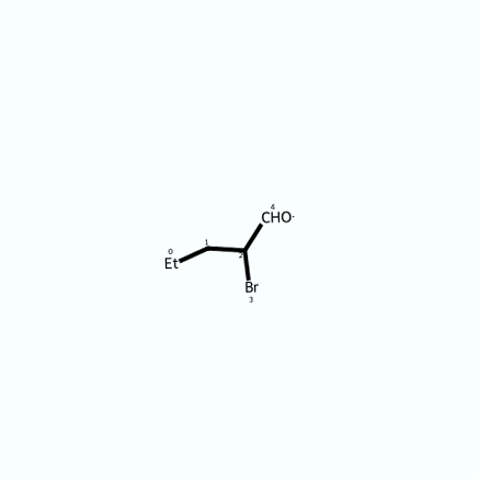 CCCC(Br)[C]=O